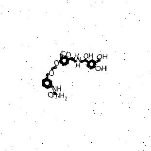 CC(=O)O.NC(=O)Nc1cccc(COCCOc2ccc(CCNC[C@H](O)c3ccc(O)c(CO)c3)cc2)c1